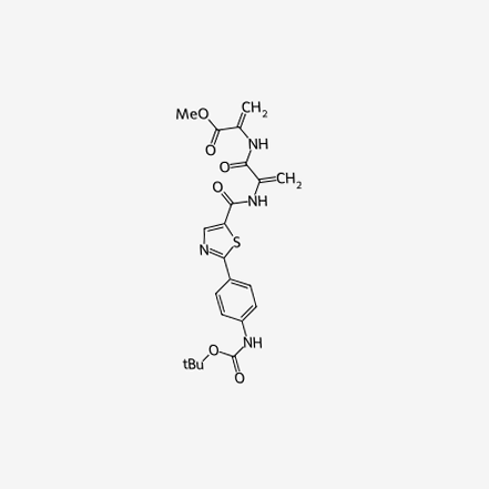 C=C(NC(=O)c1cnc(-c2ccc(NC(=O)OC(C)(C)C)cc2)s1)C(=O)NC(=C)C(=O)OC